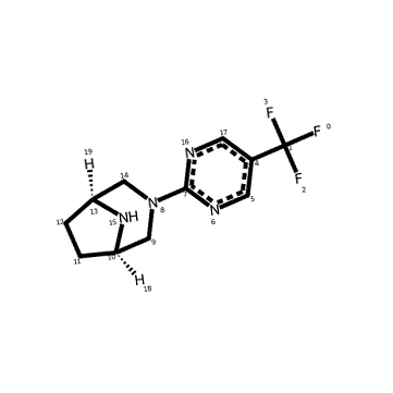 FC(F)(F)c1cnc(N2C[C@H]3CC[C@@H](C2)N3)nc1